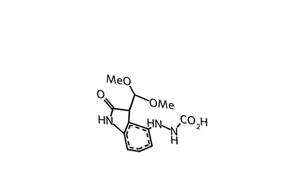 COC(OC)C1C(=O)Nc2cccc(NNC(=O)O)c21